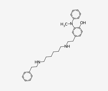 CN(c1ccccc1)c1cc(CCNCCCCCCNCCc2ccccc2)ccc1O